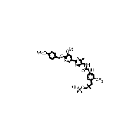 CCOc1cc(-c2ncc(NC(=O)Nc3ccc(CC(C)(C)CO[Si](C)(C)C(C)(C)C)c(C(F)(F)F)c3)c(C)n2)cnc1OCc1ccc(OC)cc1